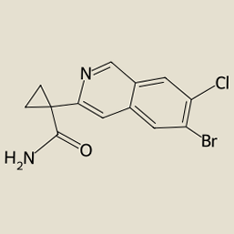 NC(=O)C1(c2cc3cc(Br)c(Cl)cc3cn2)CC1